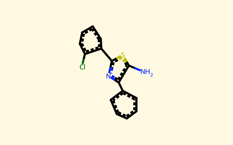 Nc1sc(-c2ccccc2Cl)nc1-c1ccccc1